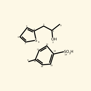 CC(O)Cc1cccs1.Cc1ccc(S(=O)(=O)O)cc1